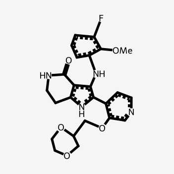 COc1c(F)cccc1Nc1c(-c2ccncc2OCC2COCCO2)[nH]c2c1C(=O)NCC2